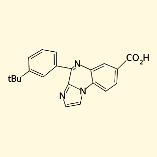 CC(C)(C)c1cccc(-c2nc3cc(C(=O)O)ccc3n3ccnc23)c1